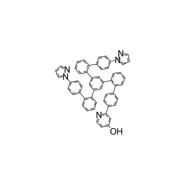 Oc1ccnc(-c2ccc(-c3ccccc3-c3cc(-c4ccccc4-c4ccc(-n5cccn5)cc4)cc(-c4ccccc4-c4ccc(-n5cccn5)cc4)c3)cc2)c1